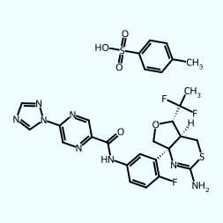 CC(F)(F)[C@H]1OC[C@]2(c3cc(NC(=O)c4cnc(-n5cncn5)cn4)ccc3F)N=C(N)SC[C@H]12.Cc1ccc(S(=O)(=O)O)cc1